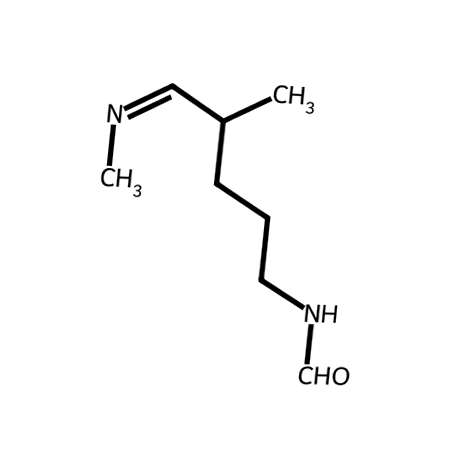 C/N=C\C(C)CCCNC=O